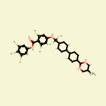 CC1COC(C2CCC(C3CCC(C(F)(F)Oc4cc(F)c(C(=O)Oc5cc(F)c(F)c(F)c5)c(F)c4)CC3)CC2)OC1